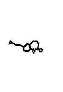 CN1C(=O)CCCc2cc(C#CC3CC3)ccc21